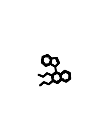 CCCc1cc2ccccc2c([C]2C=Cc3ccccc32)c1CCC